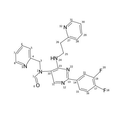 O=CN(Cc1ccccn1)c1cnc(-c2ccc(F)c(F)c2)nc1NCCc1ccccn1